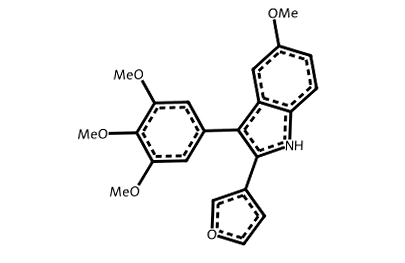 COc1ccc2[nH]c(-c3ccoc3)c(-c3cc(OC)c(OC)c(OC)c3)c2c1